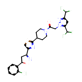 O=C(Cn1nc(C(F)F)cc1C(F)F)N1CCC(c2nc(C3=NOC(c4[c]cccc4Cl)C3)cs2)CC1